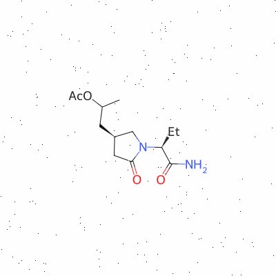 CC[C@@H](C(N)=O)N1C[C@H](CC(C)OC(C)=O)CC1=O